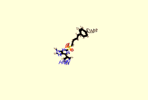 COc1ccc(CC=CCS(=O)(=O)c2nc(-c3cn[nH]c3)c3ncn(C)c3n2)cc1